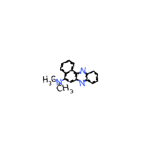 CN(C)c1cc2nc3ccccc3nc2c2ccccc12